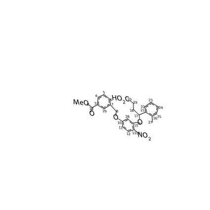 COC(=O)c1cccc(COc2ccc([N+](=O)[O-])c(OC(CCC(=O)O)c3ccccc3C)c2)c1